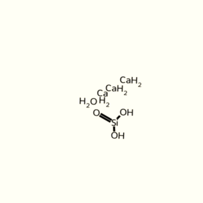 O.O=[Si](O)O.[CaH2].[CaH2].[CaH2]